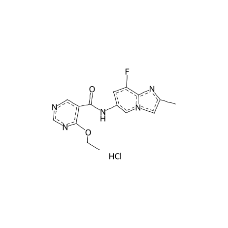 CCOc1ncncc1C(=O)Nc1cc(F)c2nc(C)cn2c1.Cl